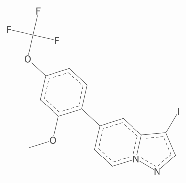 COc1cc(OC(F)(F)F)ccc1-c1ccn2ncc(I)c2c1